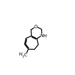 CC1=C=CC2=C(CC1)NCOC2